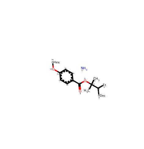 CCCCCCCCCCC(CC)C(C)(C)OC(=O)c1ccc(OCCCCCC)cc1.N